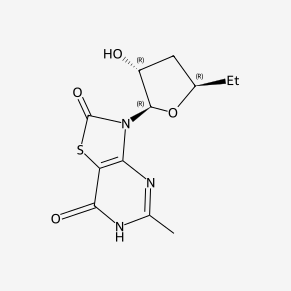 CC[C@@H]1C[C@@H](O)[C@H](n2c(=O)sc3c(=O)[nH]c(C)nc32)O1